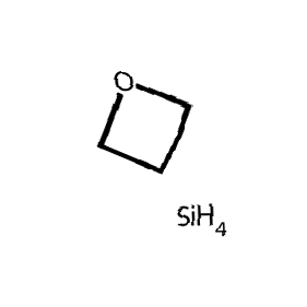 C1COC1.[SiH4]